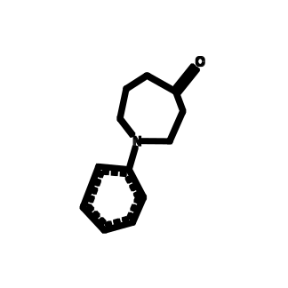 O=C1CCCN(c2ccccc2)CC1